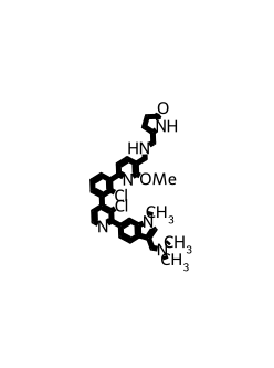 COc1nc(-c2cccc(-c3ccnc(-c4ccc5c(CN(C)C)cn(C)c5c4)c3Cl)c2Cl)ccc1CNCC1CCC(=O)N1